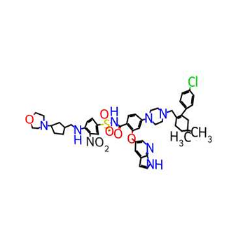 CC1(C)CCC(CN2CCN(c3ccc(C(=O)NS(=O)(=O)c4ccc(NCC5CCC(N6CCOCC6)C5)c([N+](=O)[O-])c4)c(Oc4cnc5[nH]ccc5c4)c3)CC2)=C(c2ccc(Cl)cc2)C1